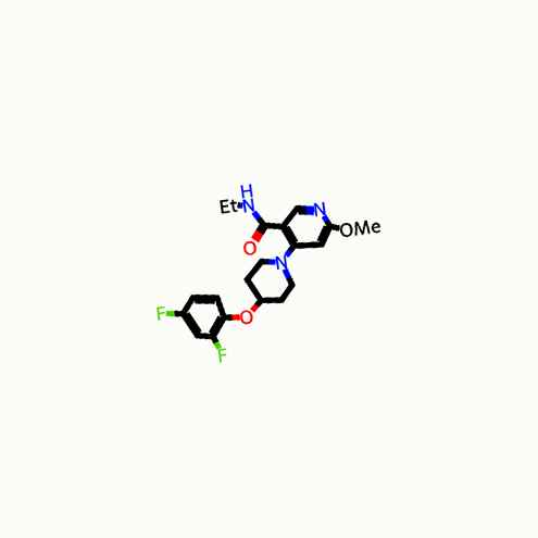 CCNC(=O)c1cnc(OC)cc1N1CCC(Oc2ccc(F)cc2F)CC1